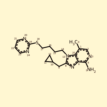 Cc1cnc(N)c2nc(CC3CC3)n(CCCCSc3ncccn3)c12